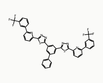 FC(F)(F)c1cccc(-c2cccc(-c3nnc(-c4cc(-c5ccccc5)cc(-c5nnc(-c6cccc(-c7cccc(C(F)(F)F)c7)n6)s5)c4)s3)n2)c1